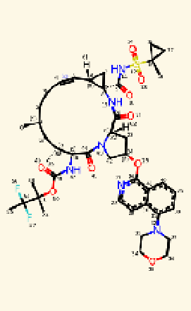 C[C@H]1CC/C=C\[C@@H]2C[C@@]2(C(=O)NS(=O)(=O)C2(C)CC2)NC(=O)[C@@H]2C[C@@H](Oc3nccc4c(N5CCOCC5)cccc34)CN2C(=O)[C@@H](NC(=O)OC(C)(C)C(C)(F)F)[C@H](C)C1